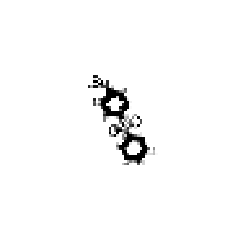 CC(C)(C)c1ccc(S(=O)(=O)C2=CC=C=C=C2)cc1